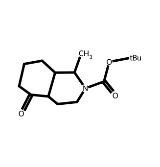 CC1C2CCCC(=O)C2CCN1C(=O)OC(C)(C)C